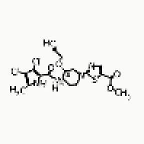 C#CCO[C@H]1CN(c2ncc(C(=O)OC)s2)CC[C@H]1NC(=O)c1[nH]c(C)c(Cl)c1Cl